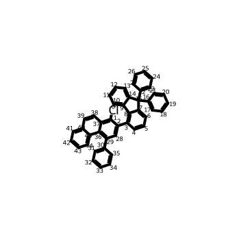 Clc1c(-c2cccc3c2-c2ccccc2C3(c2ccccc2)c2ccccc2)cc(-c2ccccc2)c2c1ccc1ccccc12